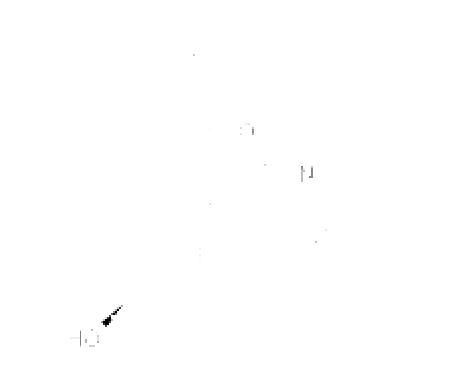 CCN1CCC23C[C@@]2(C)[C@@H](O)CCC3(c2ccccc2)C1=O